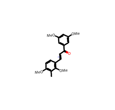 COc1cc(OC)cc(C(=O)/C=C/c2ccc(OC)c(C)c2OC)c1